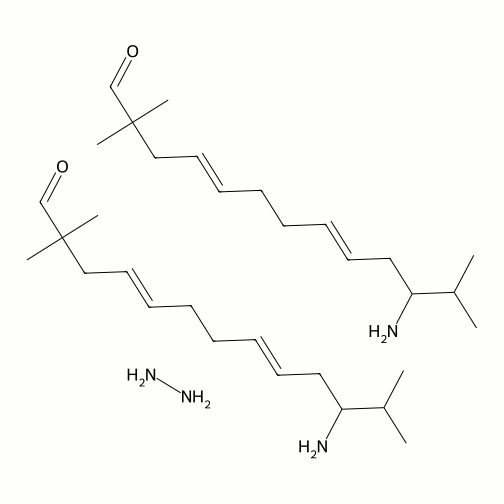 CC(C)C(N)CC=CCCC=CCC(C)(C)C=O.CC(C)C(N)CC=CCCC=CCC(C)(C)C=O.NN